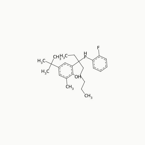 CCCCCC(CC)(Pc1ccccc1F)c1cc(C(C)(C)C)cc(C)c1O